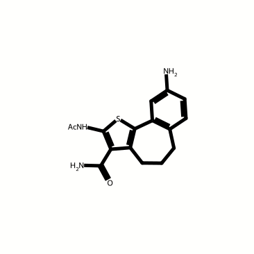 CC(=O)Nc1sc2c(c1C(N)=O)CCCc1ccc(N)cc1-2